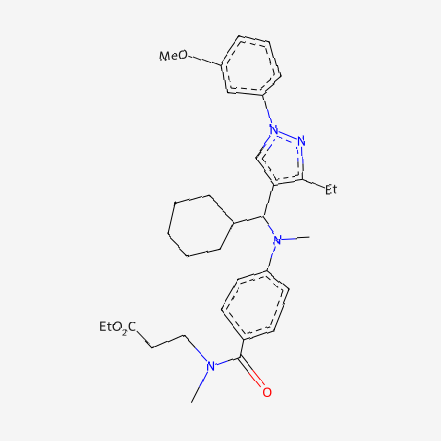 CCOC(=O)CCN(C)C(=O)c1ccc(N(C)C(c2cn(-c3cccc(OC)c3)nc2CC)C2CCCCC2)cc1